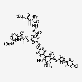 CC(C)[C@H](NC(=O)OC(C)(C)C)C(=O)NCCC(=O)OC[C@H](COc1ccc(-c2c(C#N)c(N)nc(SCc3coc(-c4ccc(Cl)cc4)n3)c2C#N)cc1)OC(=O)CCNC(=O)[C@@H](NC(=O)OC(C)(C)C)C(C)C